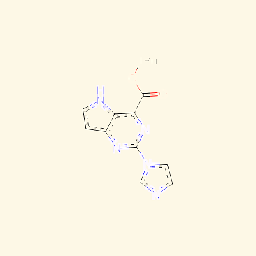 CC(C)(C)OC(=O)c1nc(-n2ccnc2)nc2cc[nH]c12